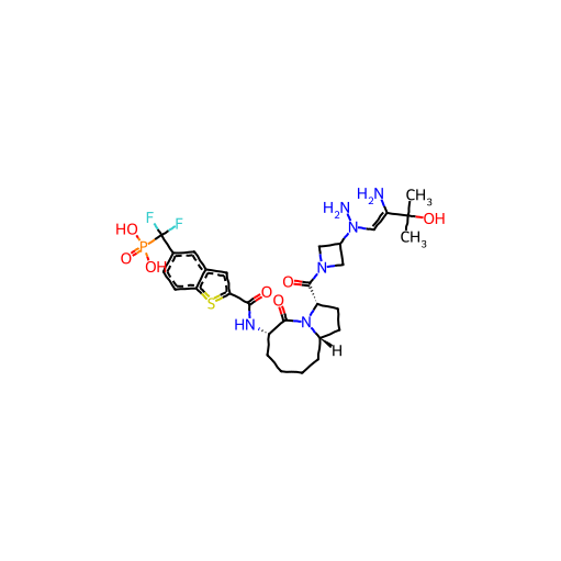 CC(C)(O)/C(N)=C/N(N)C1CN(C(=O)[C@@H]2CC[C@@H]3CCCC[C@H](NC(=O)c4cc5cc(C(F)(F)P(=O)(O)O)ccc5s4)C(=O)N32)C1